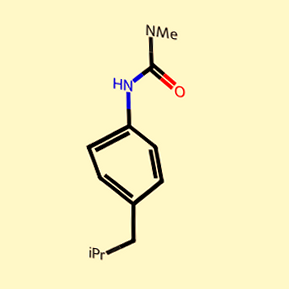 CNC(=O)Nc1ccc(CC(C)C)cc1